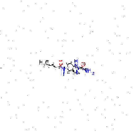 C=CCCC(=O)NC1CCC2NC(C(N)=O)=NC=C2C1